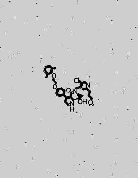 COCCCc1cc(CN(C(=O)C2=C(c3ccc(OCCOc4c(C)cccc4C)cc3)CCN[C@@H]2CO)C2CC2)c(Cl)cn1